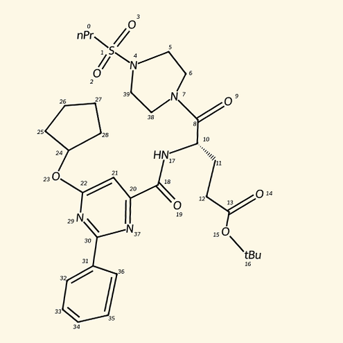 CCCS(=O)(=O)N1CCN(C(=O)[C@H](CCC(=O)OC(C)(C)C)NC(=O)c2cc(OC3CCCC3)nc(-c3ccccc3)n2)CC1